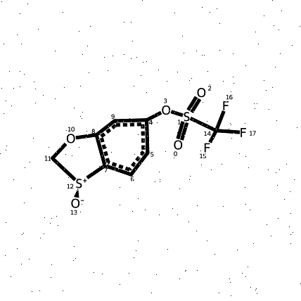 O=S(=O)(Oc1ccc2c(c1)OC[S@+]2[O-])C(F)(F)F